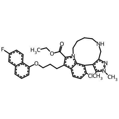 CCOC(=O)c1c(CCCOc2cccc3cc(F)ccc23)c2ccc(Cl)c3c2n1CCCCNCc1nn(C)c(C)c1-3